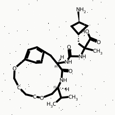 CC(C)[C@H]1COCCCCOc2ccc(cc2)C[C@@H](NC(=O)NC(C)(C[C@H]2C[C@H](N)C2)C(=O)O)C(=O)N1